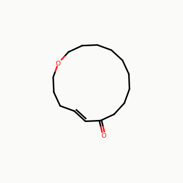 O=C1/C=C/CCCOCCCCCCCCC1